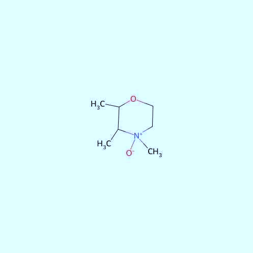 CC1OCC[N+](C)([O-])C1C